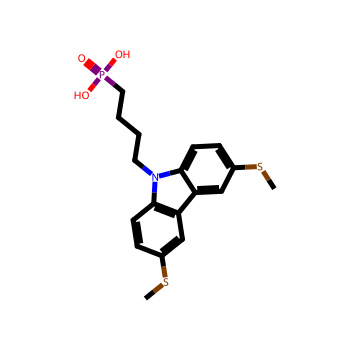 CSc1ccc2c(c1)c1cc(SC)ccc1n2CCCCP(=O)(O)O